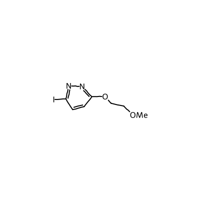 COCCOc1ccc(I)nn1